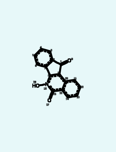 O=C1c2ccccc2-c2c1c1ccccc1c(=O)n2O